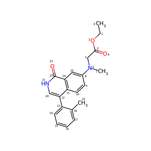 CCOC(=O)CN(C)c1ccc2c(-c3ccccc3C)c[nH]c(=O)c2c1